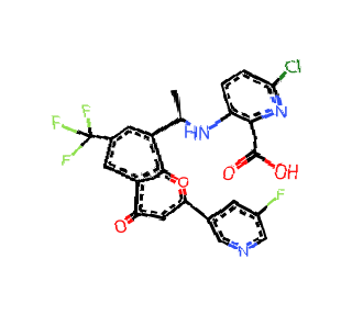 C[C@@H](Nc1ccc(Cl)nc1C(=O)O)c1cc(C(F)(F)F)cc2c(=O)cc(-c3cncc(F)c3)oc12